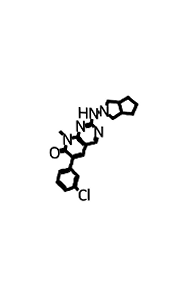 Cn1c(=O)c(-c2cccc(Cl)c2)cc2cnc(NN3CC4CCCC4C3)nc21